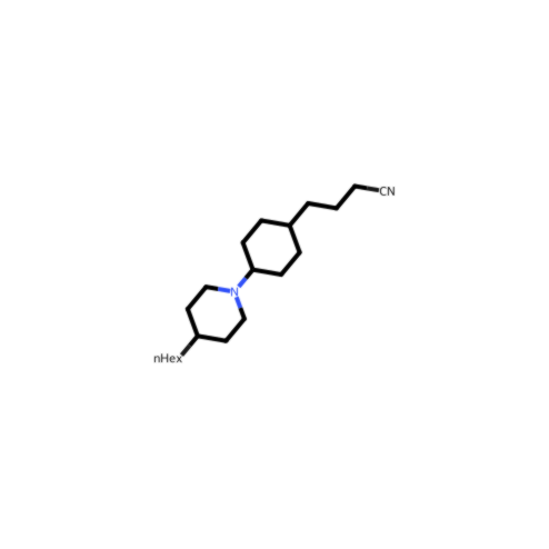 CCCCCCC1CCN(C2CCC(CCCC#N)CC2)CC1